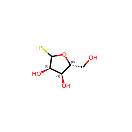 OC[C@H]1OC(S)[C@H](O)[C@@H]1O